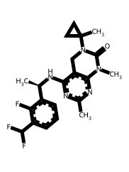 Cc1nc(N[C@H](C)c2cccc(C(F)F)c2F)c2c(n1)N(C)C(=O)N(C1(C)CC1)C2